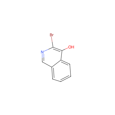 Oc1c(Br)ncc2ccccc12